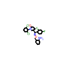 Nc1ccccc1CO/N=C(/c1ccc(=O)n(-c2c(Cl)cccc2Cl)c1)c1ccc(F)cc1F